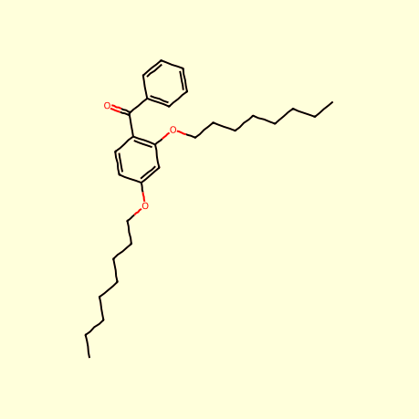 CCCCCCCCOc1ccc(C(=O)c2ccccc2)c(OCCCCCCCC)c1